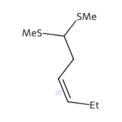 CC/C=C\CC(SC)SC